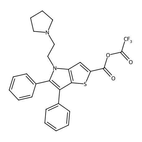 O=C(OC(=O)C(F)(F)F)c1cc2c(s1)c(-c1ccccc1)c(-c1ccccc1)n2CCN1CCCC1